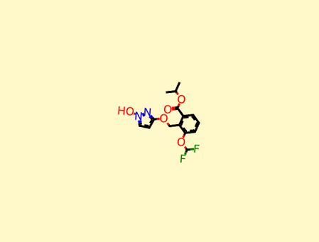 CC(C)OC(=O)c1cccc(OC(F)F)c1COc1ccn(O)n1